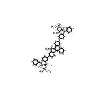 CC1(C)CC2(C)c3cc(-c4ccc5c(c4)C(C)(C)c4c-5c5ccccc5c5cc(-c6ccc7c(c6)C6(C)CC(C)(C)CC6(C)N7c6ccccc6)ccc45)ccc3N(c3ccccc3)C2(C)C1